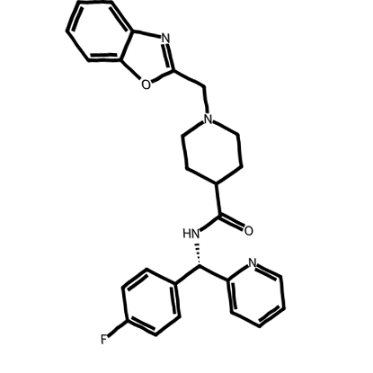 O=C(N[C@@H](c1ccc(F)cc1)c1ccccn1)C1CCN(Cc2nc3ccccc3o2)CC1